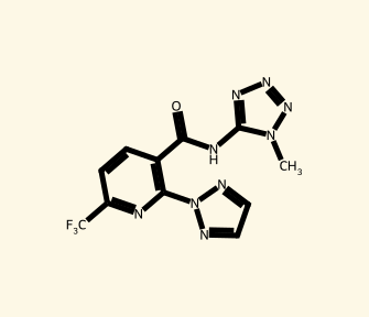 Cn1nnnc1NC(=O)c1ccc(C(F)(F)F)nc1-n1nccn1